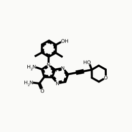 Cc1ccc(O)c(C)c1-n1c(N)c(C(N)=O)c2ncc(C#CC3(O)CCOCC3)nc21